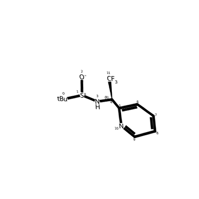 CC(C)(C)[S+]([O-])N[C@H](c1ccccn1)C(F)(F)F